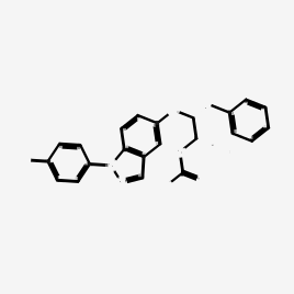 C[C@H](NC(=O)C(F)(F)F)[C@@H](Cc1ccccc1)Oc1ccc2c(cnn2-c2ccc(F)cc2)c1